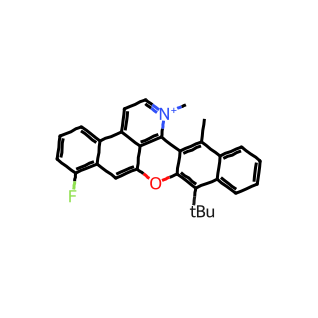 Cc1c2c(c(C(C)(C)C)c3ccccc13)Oc1cc3c(F)cccc3c3cc[n+](C)c-2c13